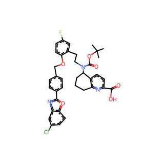 CC(C)(C)OC(=O)N(CCc1cc(F)ccc1OCc1ccc(-c2nc3cc(Cl)ccc3o2)cc1)C1CCCc2nc(C(=O)O)ccc21